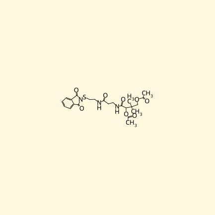 CC(=O)OCC(C)(C)C(OC(C)=O)C(=O)NCCC(=O)NCCSN1C(=O)c2ccccc2C1=O